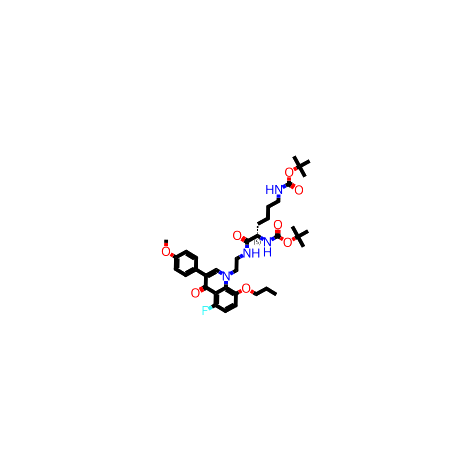 CCCOc1ccc(F)c2c(=O)c(-c3ccc(OC)cc3)cn(CCNC(=O)[C@H](CCCCNC(=O)OC(C)(C)C)NC(=O)OC(C)(C)C)c12